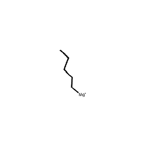 CCCC[CH2][Mg+]